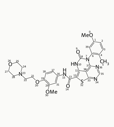 COc1ccc(C)c(N2C(=O)Nc3c(C(=O)Nc4ccc(OCCN5CCOCC5)c(OC)c4)sc4ncnc2c34)c1